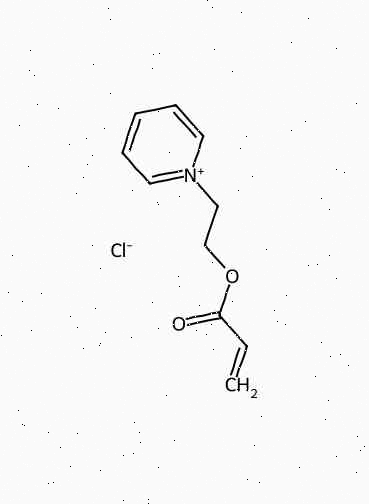 C=CC(=O)OCC[n+]1ccccc1.[Cl-]